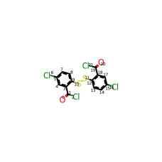 O=C(Cl)c1cc(Cl)ccc1SSc1ccc(Cl)cc1C(=O)Cl